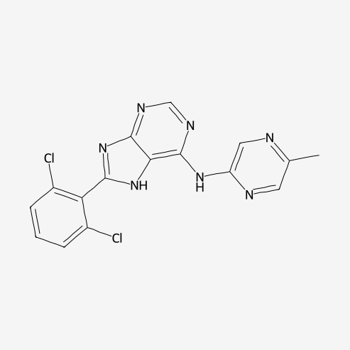 Cc1cnc(Nc2ncnc3nc(-c4c(Cl)cccc4Cl)[nH]c23)cn1